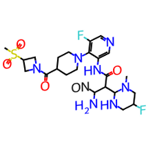 CN1CC(F)CNC1C(C(=O)Nc1cncc(F)c1N1CCC(C(=O)N2CC(S(C)(=O)=O)C2)CC1)C(N)N=O